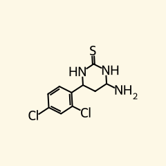 NC1CC(c2ccc(Cl)cc2Cl)NC(=S)N1